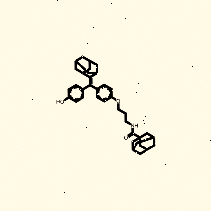 O=C(NCCCOc1ccc(C(=C2C3CC4CC(C3)CC2C4)c2ccc(O)cc2)cc1)C12CC3CC(CC(C3)C1)C2